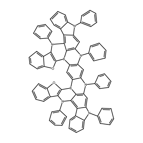 c1ccc(N2c3cc4c(cc3B3c5oc6ccccc6c5N(c5ccccc5)c5c3c2cc2c5c3ccccc3n2-c2ccccc2)B2c3oc5ccccc5c3N(c3ccccc3)c3c2c(cc2c3c3ccccc3n2-c2ccccc2)N4c2ccccc2)cc1